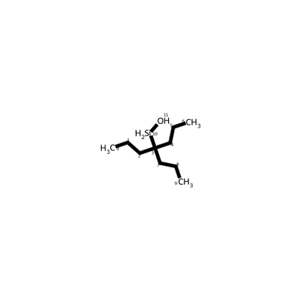 CCCC(CCC)(CCC)[SiH2]O